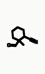 CC1(C=O)CCCCC1C#N